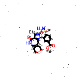 CCCOC(=O)c1ccc(S(N)(=O)=O)c(-n2nc(CC)c3c2CC2(CCOCC2)CNC3=O)c1